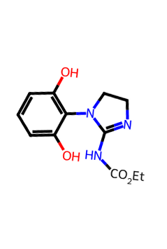 CCOC(=O)NC1=NCCN1c1c(O)cccc1O